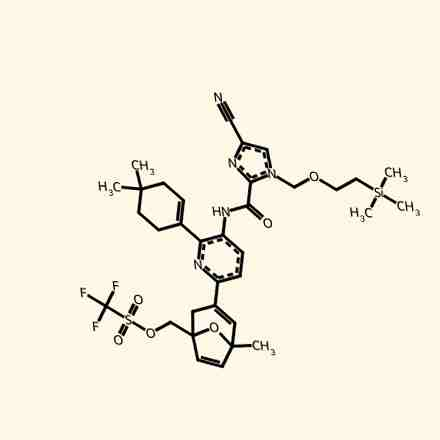 CC1(C)CC=C(c2nc(C3=CC4(C)C=CC(COS(=O)(=O)C(F)(F)F)(C3)O4)ccc2NC(=O)c2nc(C#N)cn2COCC[Si](C)(C)C)CC1